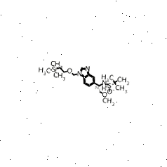 COC[C@@H](N[S@+]([O-])C(C)(C)C)c1ccc2c(c1)ncn2COCC[Si](C)(C)C